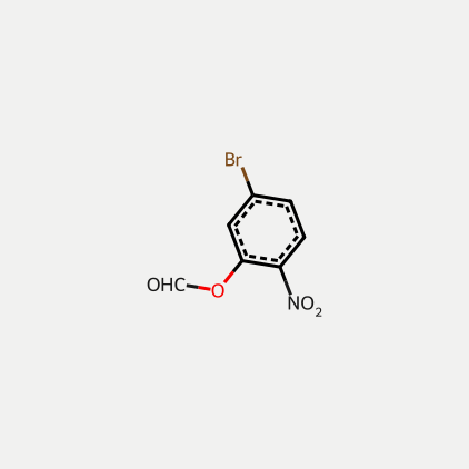 O=COc1cc(Br)ccc1[N+](=O)[O-]